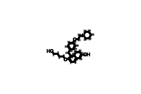 OCCCCOc1ccc2cc(O)ccc2c1Cc1ccc(OCCN2CCCCC2)cc1